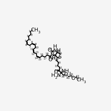 CCCCC/C=C\C/C=C\C/C=C\C/C=C\CCCC(=O)N1C(=O)N[C@H]2CS[C@@H](CCCCC(=O)C(N)(N)COCCOCC)[C@H]21